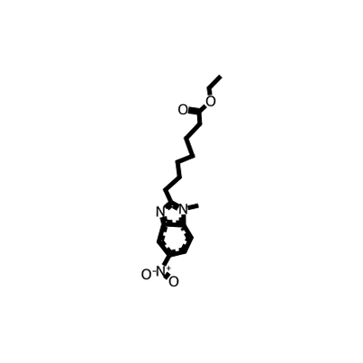 CCOC(=O)CCCCCCc1nc2cc([N+](=O)[O-])ccc2n1C